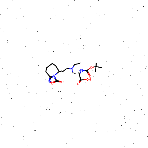 CCN(CCC1CCCCc2noc(=O)n21)C[C@H](NC(=O)OC(C)(C)C)C(=O)O